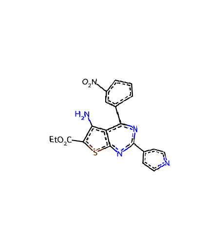 CCOC(=O)c1sc2nc(-c3ccncc3)nc(-c3cccc([N+](=O)[O-])c3)c2c1N